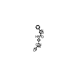 O=C(N[C@H]1C[C@H](c2nnc(C3COC3)o2)C1)c1cc(-c2ccccc2)no1